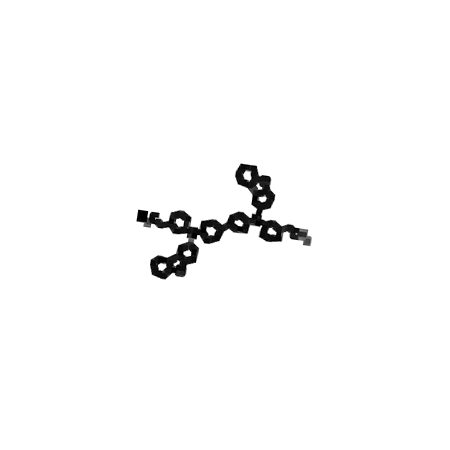 C=Cc1cccc(N(c2ccc(-c3ccc(N(c4cccc(C=C)c4)c4ccc5oc6ccccc6c5c4)cc3)cc2)c2ccc3oc4ccccc4c3c2)c1